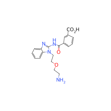 NCCOCCn1c(NC(=O)c2cccc(C(=O)O)c2)nc2ccccc21